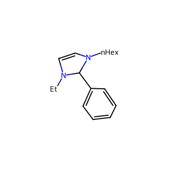 CCCCCCN1C=CN(CC)C1c1ccccc1